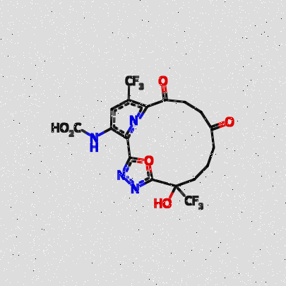 O=C1CCCC(O)(C(F)(F)F)c2nnc(o2)-c2nc(c(C(F)(F)F)cc2NC(=O)O)C(=O)CC1